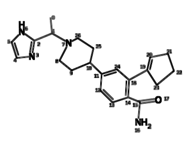 CC(c1ncc[nH]1)N1CCC(c2ccc(C(N)=O)c(C3=CCCC3)c2)CC1